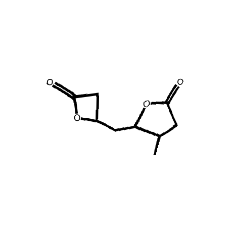 CC1CC(=O)OC1CC1CC(=O)O1